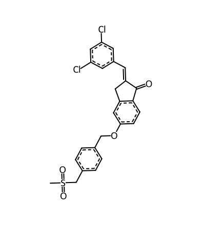 CS(=O)(=O)Cc1ccc(COc2ccc3c(c2)C/C(=C\c2cc(Cl)cc(Cl)c2)C3=O)cc1